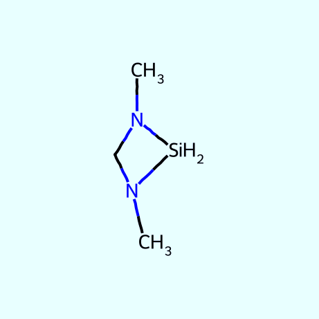 CN1CN(C)[SiH2]1